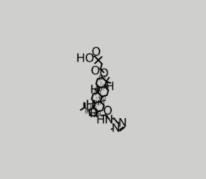 C=C(C)[C@@H]1CC[C@]2(CC(=O)NCc3nccn3C)CC[C@]3(C)[C@H](CC[C@@H]4[C@@]5(C)CC[C@H](OC(=O)CC(C)(C)C(=O)O)C(C)(C)[C@@H]5CC[C@]43C)[C@@H]12